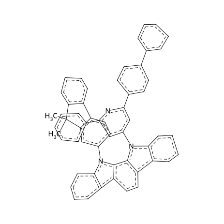 CC1(C)c2ccccc2-c2ccc(-n3c4ccccc4c4ccc5c6ccccc6n(-c6cc(-c7ccccc7)nc(-c7ccc(-c8ccccc8)cc7)c6)c5c43)cc21